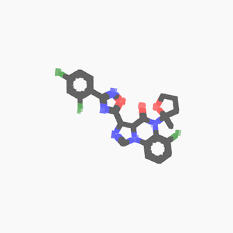 CC1(N2C(=O)C3C(c4nc(-c5ccc(F)cc5F)no4)N=CN3c3cccc(F)c32)CCCO1